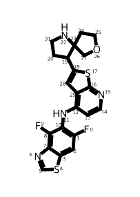 Fc1cc2scnc2c(F)c1Nc1ccnc2sc(C3CCNC34CCOC4)cc12